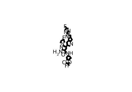 Nc1nc(N2CC[C@@H](F)C2)c(-c2cnc3c(c2)-c2nn(-c4ncc(F)cn4)cc2C3)cc1C(=O)Nc1ccc(OC(F)(F)Cl)cc1